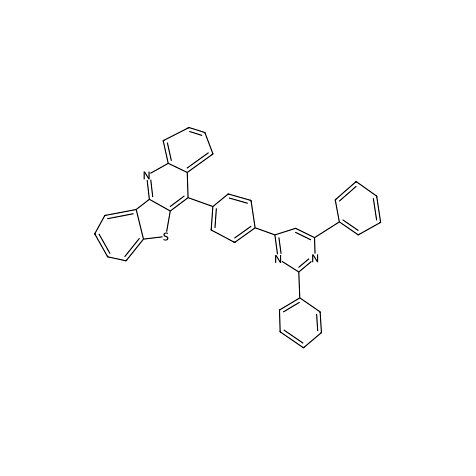 c1ccc(-c2cc(-c3ccc(-c4c5ccccc5nc5c4sc4ccccc45)cc3)nc(-c3ccccc3)n2)cc1